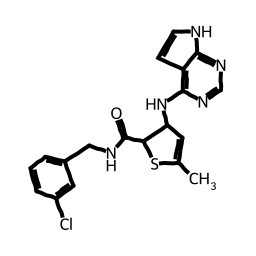 CC1=CC(Nc2ncnc3[nH]ccc23)C(C(=O)NCc2cccc(Cl)c2)S1